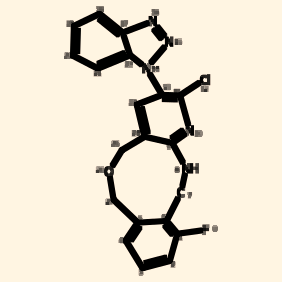 Fc1cccc2c1CNc1nc(Cl)c(-n3nnc4ccccc43)cc1COC2